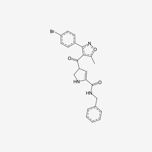 Cc1onc(-c2ccc(Br)cc2)c1C(=O)C1C=C(C(=O)NCc2ccccc2)NC1